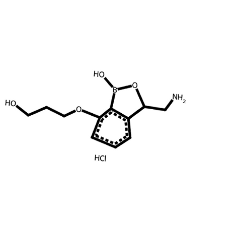 Cl.NCC1OB(O)c2c(OCCCO)cccc21